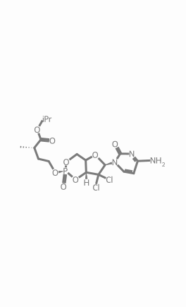 CC(C)OC(=O)[C@@H](C)CCO[P@@]1(=O)OCC2O[C@@H](n3ccc(N)nc3=O)C(Cl)(Cl)[C@@H]2O1